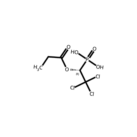 CCC(=O)O[C@@H](C(Cl)(Cl)Cl)P(=O)(O)O